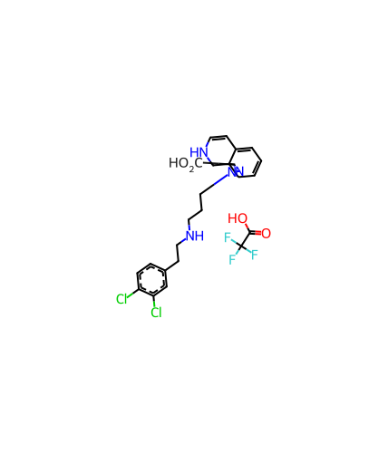 O=C(O)C(F)(F)F.O=C(O)C1N(CCCNCCc2ccc(Cl)c(Cl)c2)N=C2C=CC=C3C=CNCC321